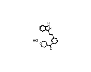 Cl.O=C(c1cccc(C=Cc2n[nH]c3ccccc23)c1)N1CCOCC1